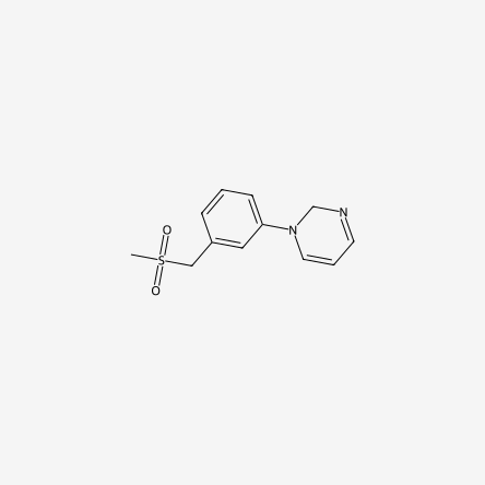 CS(=O)(=O)Cc1cccc(N2C=CC=NC2)c1